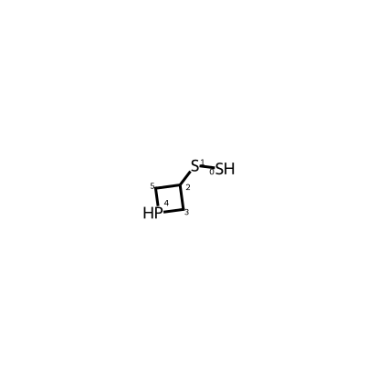 SSC1CPC1